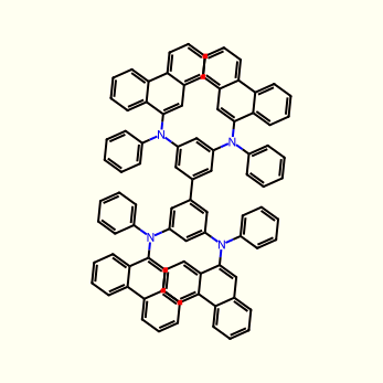 c1ccc(N(c2cc(-c3cc(N(c4ccccc4)c4cc5ccccc5c5ccccc45)cc(N(c4ccccc4)c4cc5ccccc5c5ccccc45)c3)cc(N(c3ccccc3)c3cc4ccccc4c4ccccc34)c2)c2cc3ccccc3c3ccccc23)cc1